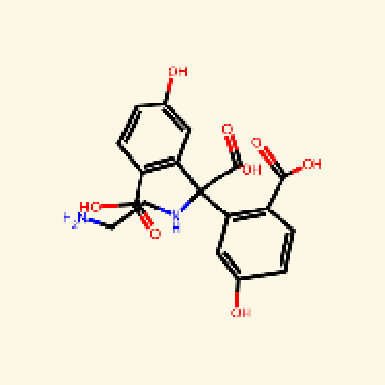 NCCNC(C(=O)O)(c1cc(O)ccc1C(=O)O)c1cc(O)ccc1C(=O)O